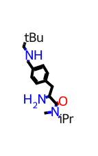 CC(C)N(C)C(=O)C(N)Cc1ccc(CNCC(C)(C)C)cc1